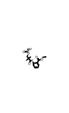 CCOC(=O)c1ccccc1SC(=O)C(C)(C)CO[N+](=O)O